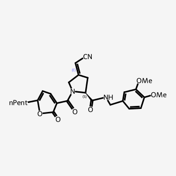 CCCCCc1ccc(C(=O)N2C/C(=C/C#N)C[C@H]2C(=O)NCc2ccc(OC)c(OC)c2)c(=O)o1